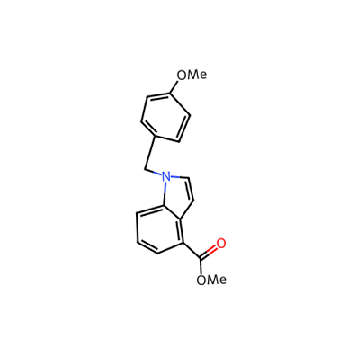 COC(=O)c1cccc2c1ccn2Cc1ccc(OC)cc1